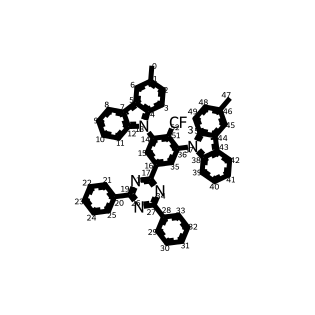 Cc1ccc2c(c1)c1ccccc1n2-c1cc(-c2nc(-c3ccccc3)nc(-c3ccccc3)n2)cc(-n2c3ccccc3c3cc(C)ccc32)c1C(F)(F)F